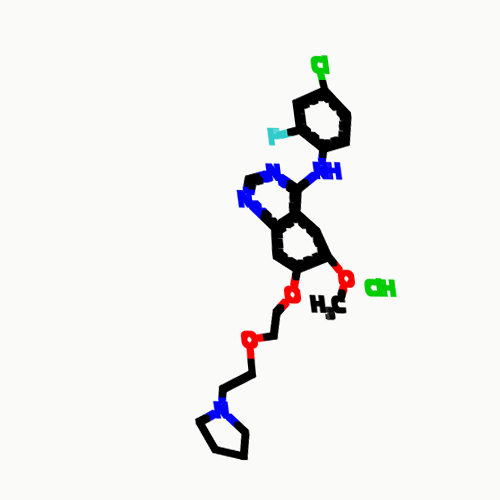 COc1cc2c(Nc3ccc(Cl)cc3F)ncnc2cc1OCCOCCN1CCCC1.Cl